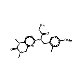 COc1ccc(CN(C(=O)OC(C)(C)C)c2ccc3c(n2)CN(C)C(=O)N3C)c(C)c1